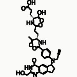 C#CCN(c1ccc(C(=O)N[C@@H](CCC(=O)N[C@H](CCC(=O)O)C(=O)O)C(C)=O)cc1)C1CCc2cc3nc(CO)[nH]c(=O)c3cc21